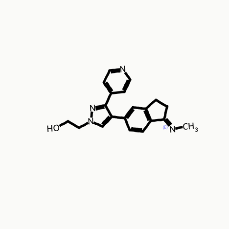 C/N=C1\CCc2cc(-c3cn(CCO)nc3-c3ccncc3)ccc21